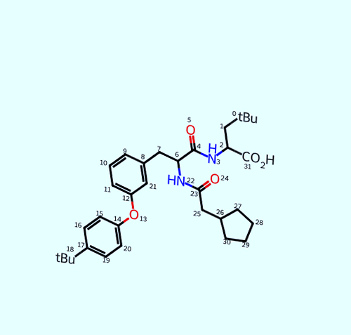 CC(C)(C)CC(NC(=O)C(Cc1cccc(Oc2ccc(C(C)(C)C)cc2)c1)NC(=O)CC1CCCC1)C(=O)O